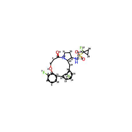 O=C1CCOc2c(F)cccc2-c2cccc(c2F)CC2C(NS(=O)(=O)C3(F)CC3)CCN12